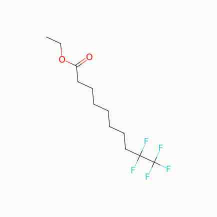 CCOC(=O)CCCCCCCC(F)(F)C(F)(F)F